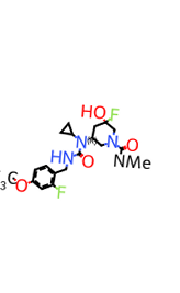 CNC(=O)N1C[C@H](N(C(=O)NCc2ccc(OC(F)(F)F)cc2F)C2CC2)CC(O)(F)C1